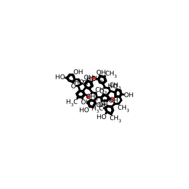 Cc1cc(C2Oc3c(c(O)cc(O)c3C3c4c(O)cc(O)c(C5c6c(O)cc(O)cc6OC(c6cc(C)c(O)c(O)c6-c6c(C7Oc8cc(O)cc(O)c8CC7C)cc(C)c(O)c6C)C5C)c4OC(c4cc(C)c(O)c(O)c4)C3C)CC2C)cc(C)c1O